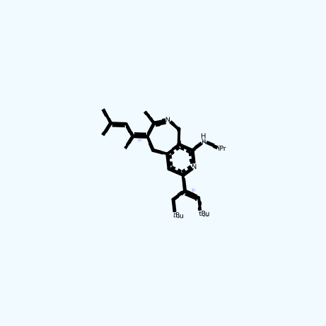 CC(C)=C/C(C)=C1/Cc2cc(/C(=C/C(C)(C)C)CC(C)(C)C)nc(NC(C)C)c2CN=C1C